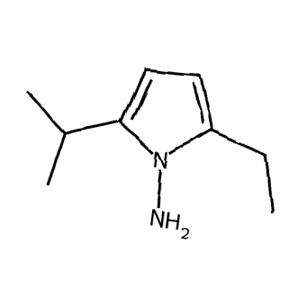 CCc1ccc(C(C)C)n1N